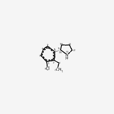 CCc1c(Cl)cccc1[C@@H]1CCCN1